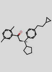 Cc1ccc(C)c(C(=O)C[C@@H](c2ccc(CCC3CC3)cc2)C2CCCC2)c1